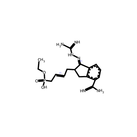 CCOP(=O)(O)C/C=C/CC1Cc2c(C(=N)N)cccc2/C1=N/NC(=N)N